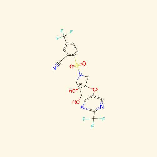 N#Cc1cc(C(F)(F)F)ccc1S(=O)(=O)N1CC(Oc2cnc(C(F)(F)F)nc2)[C@](O)(CO)C1